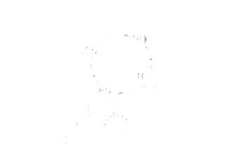 CCCCOC(C)c1c(-c2ccccn2)c2cc3nc(cc4ccc(cc5nc(cc1[nH]2)C=C5)[nH]4)C=C3